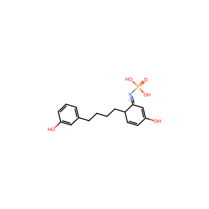 O=P(O)(O)/N=C1\C=C(O)C=CC1CCCCc1cccc(O)c1